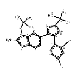 CC(C)(C)Cn1c(N)nc2ccc(-c3nc(C(C)(C)C)[nH]c3-c3ccc(F)cc3F)nc21